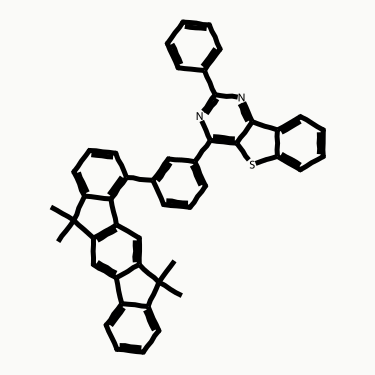 CC1(C)c2ccccc2-c2cc3c(cc21)-c1c(-c2cccc(-c4nc(-c5ccccc5)nc5c4sc4ccccc45)c2)cccc1C3(C)C